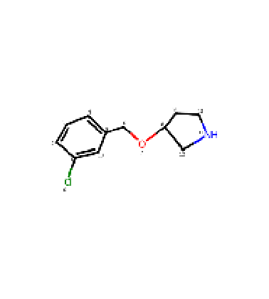 Clc1cccc(COC2CCNC2)c1